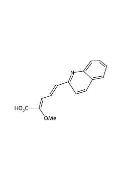 CO/C(=C\C=C\c1ccc2ccccc2n1)C(=O)O